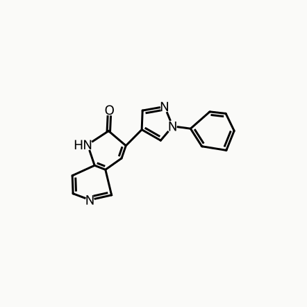 O=c1[nH]c2ccncc2cc1-c1cnn(-c2ccccc2)c1